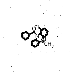 COc1ccccc1N(C(=O)c1ccccc1)c1c(Cl)cccc1Cl